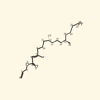 C=CCOC(=O)/C=C(\C)CCC[C@H](C)CCC[C@H](C)CCCC(C)C